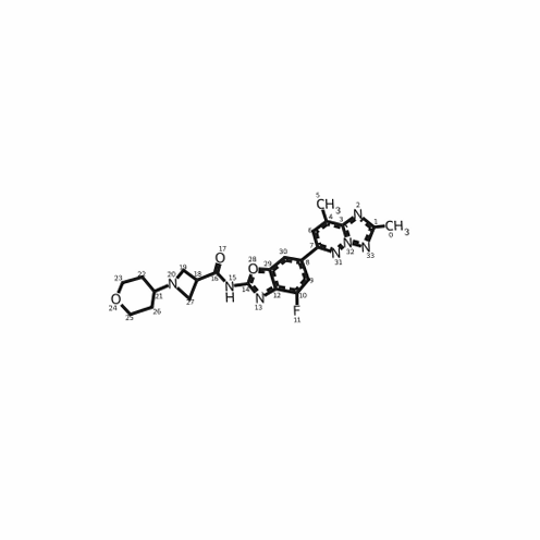 Cc1nc2c(C)cc(-c3cc(F)c4nc(NC(=O)C5CN(C6CCOCC6)C5)oc4c3)nn2n1